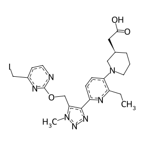 CCc1nc(-c2nnn(C)c2COc2nccc(CI)n2)ccc1N1CCC[C@H](CC(=O)O)C1